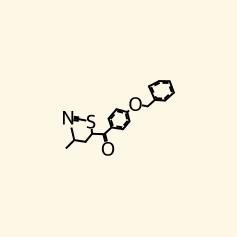 CC(C)CC(SC#N)C(=O)c1ccc(OCc2ccccc2)cc1